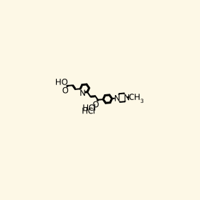 CN1CCN(c2ccc(C(=O)C=Cc3cccc(C=CC(=O)O)n3)cc2)CC1.Cl.Cl